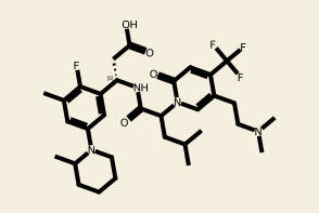 Cc1cc(N2CCCCC2C)cc([C@H](CC(=O)O)NC(=O)C(CC(C)C)n2cc(CCN(C)C)c(C(F)(F)F)cc2=O)c1F